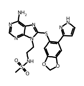 CS(=O)(=O)NCCn1c(Sc2cc3c(cc2-c2cc[nH]n2)OCO3)nc2c(N)ncnc21